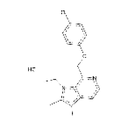 CCn1c(C)c(C)c2ccnc(COc3ccc(Cl)cc3)c21.Cl